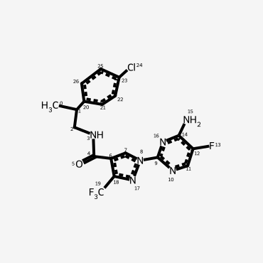 CC(CNC(=O)c1cn(-c2ncc(F)c(N)n2)nc1C(F)(F)F)c1ccc(Cl)cc1